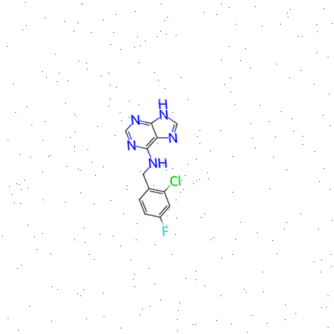 Fc1ccc(CNc2ncnc3[nH]cnc23)c(Cl)c1